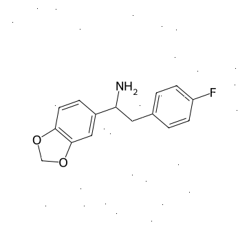 NC(Cc1ccc(F)cc1)c1ccc2c(c1)OCO2